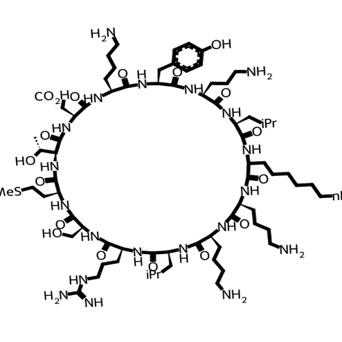 CCCCCCCCCCCCCCCCC1NC(=O)[C@H](CC(C)C)NC(=O)[C@H](CCCN)NC(=O)[C@H](Cc2ccc(O)cc2)NC(=O)[C@H](CCCCN)NC(=O)[C@H](CC(=O)O)NC(=O)[C@H]([C@@H](C)O)NC(=O)[C@H](CCSC)NC(=O)[C@H](CO)NC(=O)[C@H](CCCNC(=N)N)NC(=O)[C@H](CC(C)C)NC(=O)[C@H](CCCCN)NC(=O)[C@H](CCCCN)NC1=O